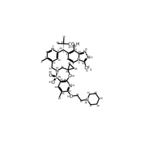 Cc1cnc([C@@H](c2ccn3c(C(F)(F)F)nnc3c2C)C(C)(C)C(=O)O)cc1CN1CC2(CC2)Oc2nc(OCCN3CCCCC3)c(C)cc2S1(=O)=O